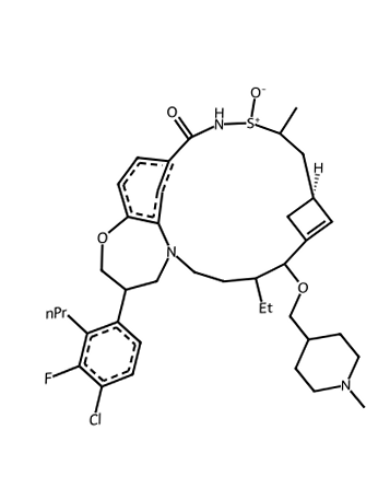 CCCc1c(C2COc3ccc4cc3N(CCC(CC)C(OCC3CCN(C)CC3)C3=C[C@@H](C3)CC(C)[S+]([O-])NC4=O)C2)ccc(Cl)c1F